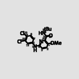 COc1ccc(Nc2ccc(Cl)c(Cl)c2)nc1C(=O)NC(C)(C)C